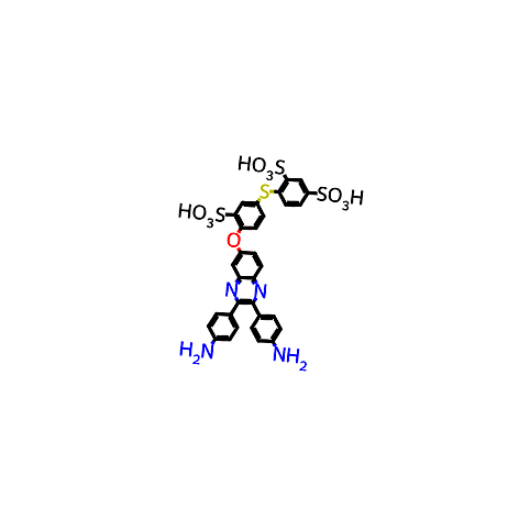 Nc1ccc(-c2nc3ccc(Oc4ccc(Sc5ccc(S(=O)(=O)O)cc5S(=O)(=O)O)cc4S(=O)(=O)O)cc3nc2-c2ccc(N)cc2)cc1